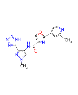 Cc1cc(-c2nc(C(=O)Nc3cn(C)nc3-c3nnn[nH]3)co2)ccn1